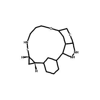 C1CNC[C@H]2C[C@H]2C2CCCC(C2)C2NNC3CCC(CC32)OC1